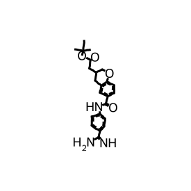 CC(C)(C)OC(=O)CC1COc2ccc(C(=O)Nc3ccc(C(=N)N)cc3)cc2C1